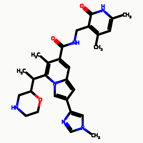 Cc1cc(C)c(CNC(=O)c2cc3cc(-c4cn(C)cn4)cn3c(C(C)C3CNCCO3)c2C)c(=O)[nH]1